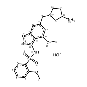 COc1ccccc1S(=O)(=O)Nc1noc2cc(CN3CCC(N)C3)cc(OC)c12.Cl